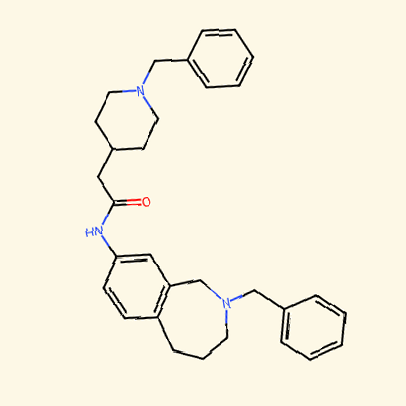 O=C(CC1CCN(Cc2ccccc2)CC1)Nc1ccc2c(c1)CN(Cc1ccccc1)CCC2